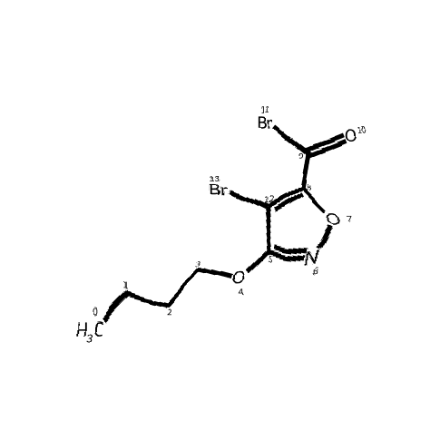 CCCCOc1noc(C(=O)Br)c1Br